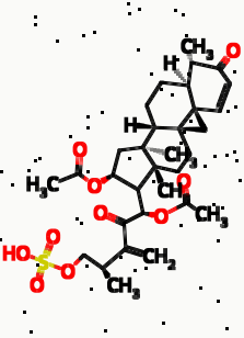 C=C(C(=O)[C@H](OC(C)=O)C1[C@@H](OC(C)=O)C[C@@]2(C)[C@@H]3CC[C@H]4[C@H](C)C(=O)C=C[C@@]45C[C@@]35CC[C@]12C)[C@@H](C)COS(=O)(=O)O